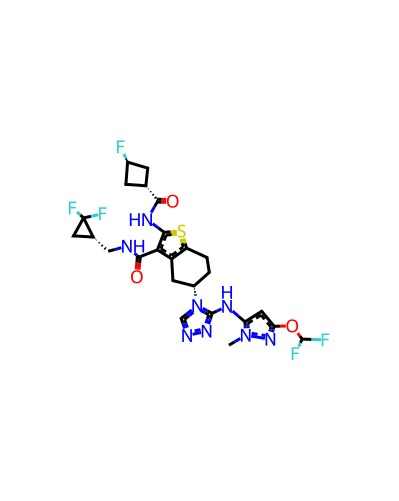 Cn1nc(OC(F)F)cc1Nc1nncn1[C@H]1CCc2sc(NC(=O)[C@H]3C[C@H](F)C3)c(C(=O)NC[C@@H]3CC3(F)F)c2C1